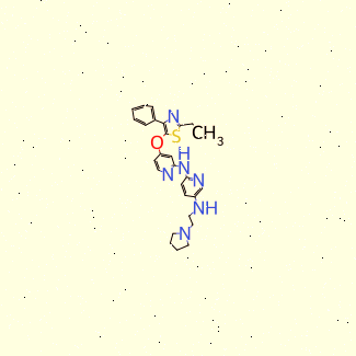 CCc1nc(-c2ccccc2)c(Oc2ccnc(Nc3ccc(NCCN4CCCC4)cn3)c2)s1